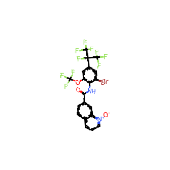 O=C(Nc1c(Br)cc(C(F)(C(F)(F)F)C(F)(F)F)cc1OC(F)(F)F)c1ccc2ccc[n+]([O-])c2c1